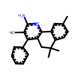 Cc1ccc2c(c1)-c1nc(N)c(C#N)c(-c3ccccc3)c1CC2(C)C